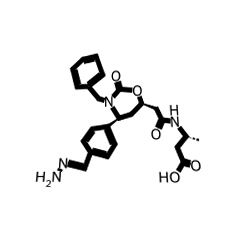 C[C@H](CC(=O)O)NC(=O)C[C@H]1C[C@@H](c2ccc(C=NN)cc2)N(Cc2ccccc2)C(=O)O1